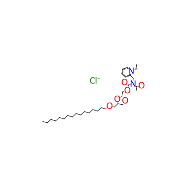 CCCCCCCCCCCCCCCCOCC1COC(COC(=O)N(Cc2cccc[n+]2CC)C(C)=O)O1.[Cl-]